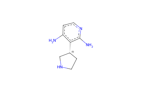 Nc1ccnc(N)c1[C@@H]1CCNC1